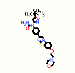 CC(C)(C)c1cc(N(C(N)=O)c2ccc(-c3cn4c(n3)sc3cc(OCCN5CCOCC5)ccc34)cc2)no1